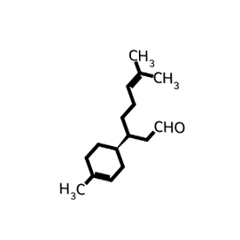 CC(C)=CCCC(CC=O)[C@H]1CC=C(C)CC1